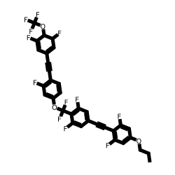 CCCOc1cc(F)c(C#Cc2cc(F)c(C(F)(F)Oc3ccc(C#CC4=CC(F)C(OC(F)(F)F)C(F)=C4)c(F)c3)c(F)c2)c(F)c1